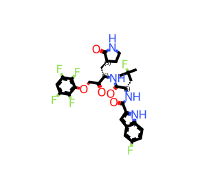 CC(C)(F)C[C@H](NC(=O)c1cc2cc(F)ccc2[nH]1)C(=O)N[C@@H](C[C@@H]1CCNC1=O)C(=O)COc1c(F)c(F)cc(F)c1F